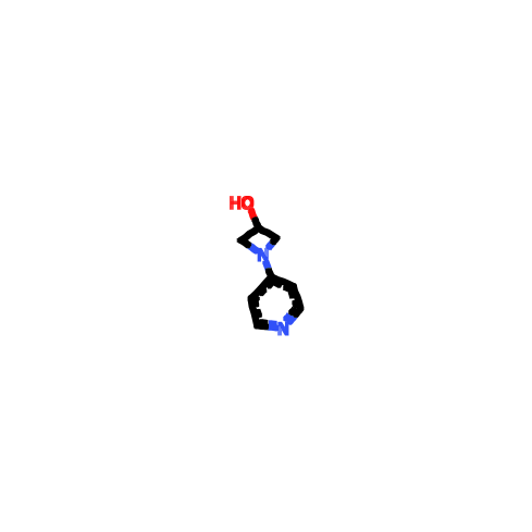 OC1CN(c2ccncc2)C1